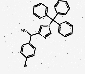 OC(c1ccc(Br)cc1)c1cn(C(c2ccccc2)(c2ccccc2)c2ccccc2)cn1